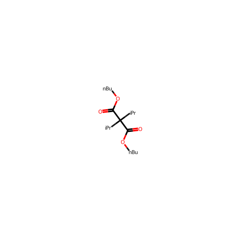 CCCCOC(=O)C(C(=O)OCCCC)(C(C)C)C(C)C